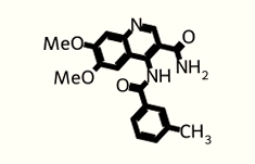 COc1cc2ncc(C(N)=O)c(NC(=O)c3cccc(C)c3)c2cc1OC